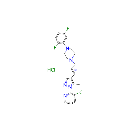 Cc1c(/C=C/CN2CCN(c3cc(F)ccc3F)CC2)cnn1-c1ncccc1Cl.Cl